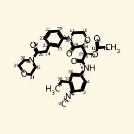 [C-]#[N+]c1ccc(NC(=O)[C@H](OC(C)=O)[C@H]2OCCN(c3cccc(CC(=O)N4CCOCC4)c3)C2=O)cc1CC